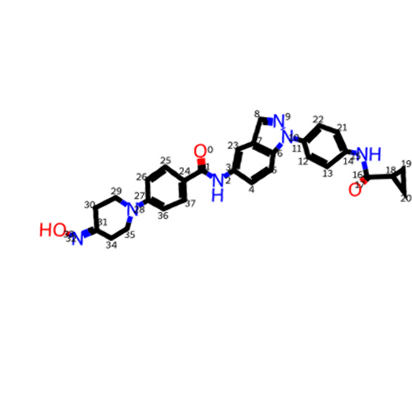 O=C(Nc1ccc2c(cnn2-c2ccc(NC(=O)C3CC3)cc2)c1)c1ccc(N2CCC(=NO)CC2)cc1